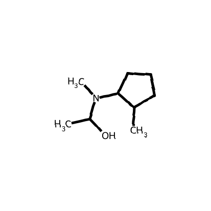 CC1CCCC1N(C)C(C)O